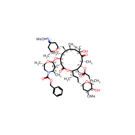 CO/N=C1/C[C@H](C[C@@H]2[C@@H](C)[C@H](O[C@H]3C[C@@H](C)N(C(=O)OCc4ccccc4)C[C@H](C)O3)[C@@H](C)C(=O)O[C@H]([C@@H](C)CC[C@H]3C[C@H](OC)[C@H](O)[C@@H](C)O3)[C@H](C)[C@@H](OC(=O)CC(C)C)[C@@H](C)C(=O)[C@@](C)(O)C[C@@H]2C)O[C@H](C)C1